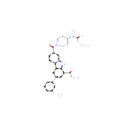 COc1cccc(-c2cc(C(N)=O)c3[nH]c4cc(C(=O)N5CCC(NC(=O)OC(C)(C)C)CC5)ccc4c3c2)c1